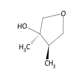 C[C@@H]1COC[C@]1(C)O